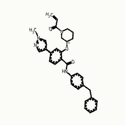 C=CC(=O)N1CCC[C@@H](Oc2cc(-c3cnn(C)c3)ccc2C(=O)Nc2ccc(Cc3ccccc3)cc2)C1